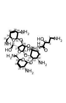 NCC[C@H](O)C(=O)N[C@@H]1C[C@H](N)[C@@H](O[C@H]2O[C@H](CN)C=C[C@H]2N)[C@H](O[C@@H]2O[C@H](CO)[C@@H](O[C@H]3O[C@@H](CN)C=C[C@H]3N)[C@H]2O)[C@H]1O